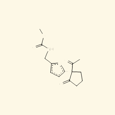 COC(=O)NCc1ccc([C@]2(C(C)=O)CCCC2=O)o1